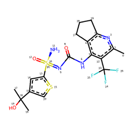 Cc1nc2c(c(NC(=O)N=[S@@](N)(=O)c3cc(C(C)(C)O)cs3)c1C(F)(F)F)CCC2